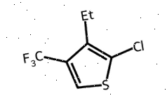 CCc1c(C(F)(F)F)csc1Cl